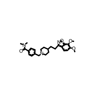 COc1ccc2c(CCC3CCN(Cc4ccc(C(=O)N(C)C)cc4)CC3)noc2c1OC